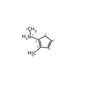 C[SiH2]C1=C(C)C=CC1